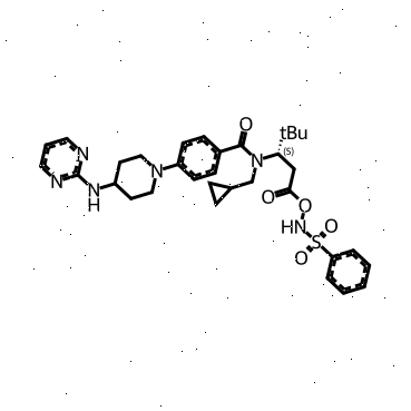 CC(C)(C)[C@H](CC(=O)ONS(=O)(=O)c1ccccc1)N(CC1CC1)C(=O)c1ccc(N2CCC(Nc3ncccn3)CC2)cc1